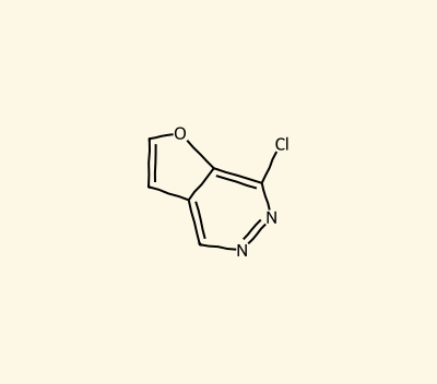 Clc1nncc2ccoc12